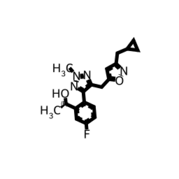 C[C@@H](O)c1cc(F)ccc1-c1nn(C)nc1Cc1cc(CC2CC2)no1